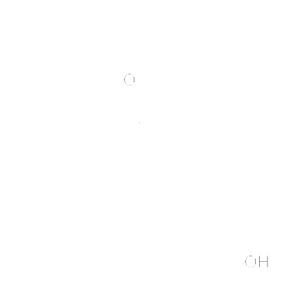 Oc1ccc(C2(c3ccccc3)CCCCCO2)cc1